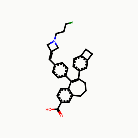 O=C(O)c1ccc2c(c1)CCCC(c1ccc3c(c1)CC3)=C2c1ccc(C=C2CN(CCCF)C2)cc1